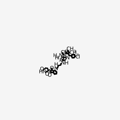 Cc1sc2c(c1C)C(c1ccc(Cl)cc1)=N[C@@H](CC(=O)NCCCCNc1cccc3c1C(=O)N(C1CCC(=O)NC1=O)C3=O)C(N)N2C(C)N